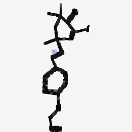 COCOc1ccc(/C=C/C2(C)C=C(I)C(=O)C(C)(C)C2)cc1